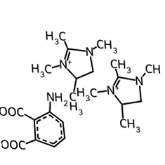 CC1=[N+](C)C(C)CN1C.CC1=[N+](C)C(C)CN1C.Nc1cccc(C(=O)[O-])c1C(=O)[O-]